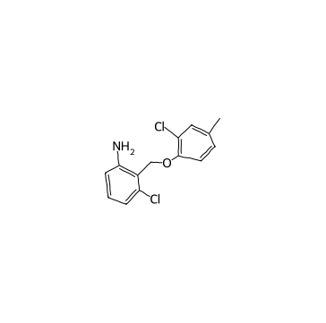 Cc1ccc(OCc2c(N)cccc2Cl)c(Cl)c1